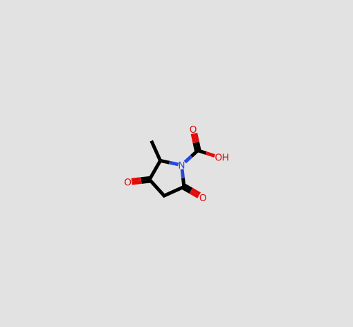 CC1C(=O)CC(=O)N1C(=O)O